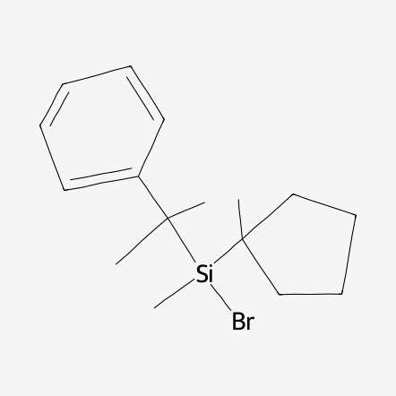 CC1([Si](C)(Br)C(C)(C)c2ccccc2)CCCC1